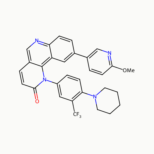 COc1ccc(-c2ccc3ncc4ccc(=O)n(-c5ccc(N6CCCCC6)c(C(F)(F)F)c5)c4c3c2)cn1